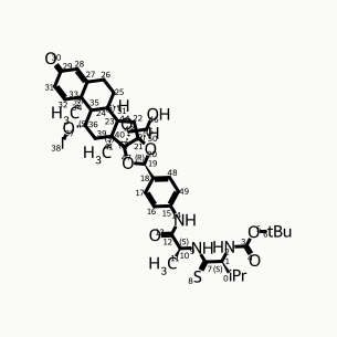 CC(C)[C@H](NC(=O)OC(C)(C)C)C(=S)N[C@@H](C)C(=O)Nc1ccc([C@@H]2O[C@@H]3CC4[C@@H]5CCC6=CC(=O)C=C[C@]6(C)C5[C@@H](OI)C[C@]4(C)[C@]3(C(=O)CO)O2)cc1